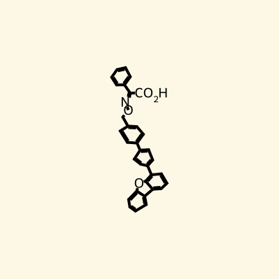 O=C(O)/C(=N\OCc1ccc(-c2ccc(-c3cccc4c3oc3ccccc34)cc2)cc1)c1ccccc1